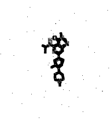 Cc1cc(-c2cc3ncn(C)c(=O)c3c(NC(C)C)n2)ccc1C1CCN(C)CC1